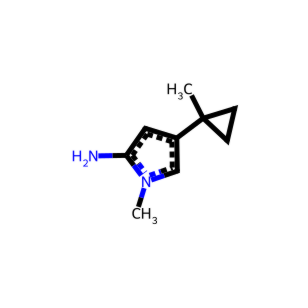 Cn1cc(C2(C)CC2)cc1N